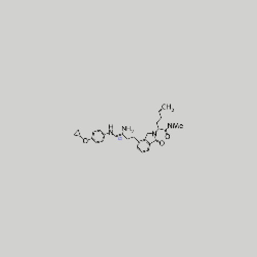 C=CCCC(C(=O)NC)N1Cc2c(CC/C(N)=C/Nc3ccc(OC4CC4)cc3)cccc2C1=O